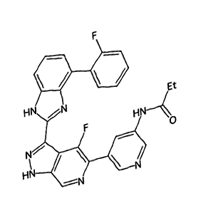 CCC(=O)Nc1cncc(-c2ncc3[nH]nc(-c4nc5c(-c6ccccc6F)cccc5[nH]4)c3c2F)c1